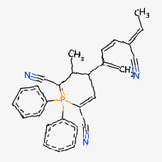 C=C(/C=C\C(C#N)=C/C)C1C=C(C#N)P(c2ccccc2)(c2ccccc2)=C(C#N)C1C